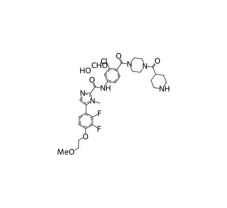 COCCOc1ccc(-c2cnc(C(=O)Nc3ccc(C(=O)N4CCN(C(=O)C5CCNCC5)CC4)c(Cl)c3)n2C)c(F)c1F.O=CO